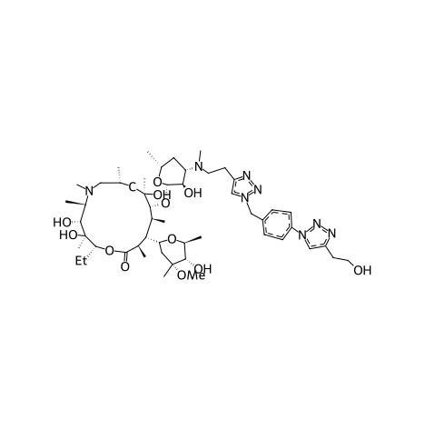 CC[C@H]1OC(=O)[C@H](C)[C@@H](C2C[C@@](C)(OC)[C@@H](O)[C@H](C)O2)[C@H](C)[C@@H](O[C@@H]2O[C@H](C)C[C@H](N(C)CCc3cn(Cc4ccc(-n5cc(CCO)nn5)cc4)nn3)[C@H]2O)[C@](C)(O)C[C@@H](C)CN(C)[C@H](C)[C@@H](O)[C@]1(C)O